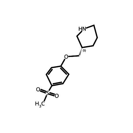 CS(=O)(=O)c1ccc(OC[C@H]2CCCNC2)cc1